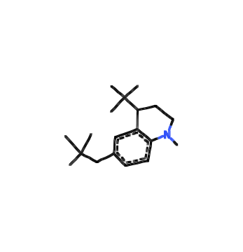 CN1CCC(C(C)(C)C)c2cc(CC(C)(C)C)ccc21